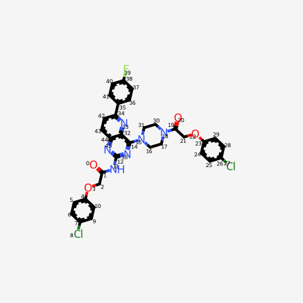 O=C(COc1ccc(Cl)cc1)Nc1nc(N2CCN(C(=O)COc3ccc(Cl)cc3)CC2)c2nc(-c3ccc(F)cc3)ccc2n1